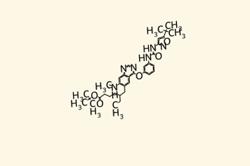 CCC(CCCC(=O)OC(C)(C)C)Cc1cc2c(Oc3cccc(NC(=O)Nc4cc(C(C)(C)C)on4)c3)ncnc2cc1NC